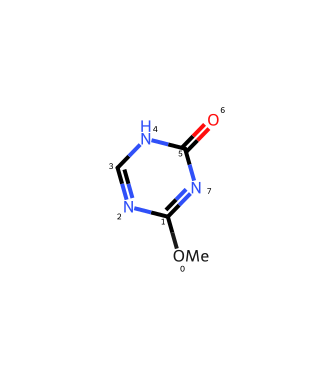 COc1nc[nH]c(=O)n1